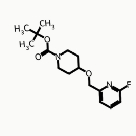 CC(C)(C)OC(=O)N1CCC(OCc2cccc(F)n2)CC1